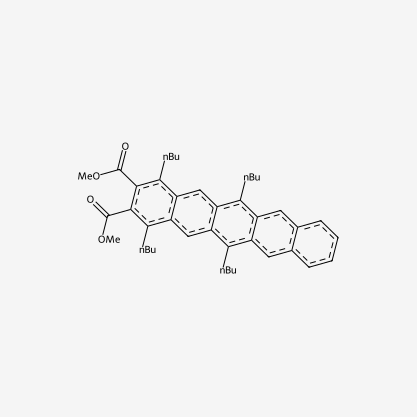 CCCCc1c(C(=O)OC)c(C(=O)OC)c(CCCC)c2cc3c(CCCC)c4cc5ccccc5cc4c(CCCC)c3cc12